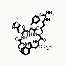 N=C(N)NCCCC[C@H](NC(=O)[C@@H](Cc1ccccc1)NC(=O)[C@H](Cc1c[nH]cn1)NC(=O)[C@@H](N)CS)C(=O)N[C@@H](Cc1c[nH]c2ccccc12)C(=O)O